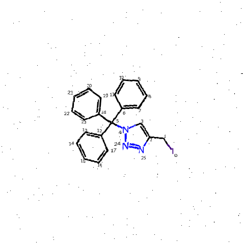 ICc1cn(C(c2ccccc2)(c2ccccc2)c2ccccc2)nn1